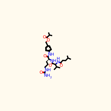 CC(C)CCC(=O)NC(C(=O)N[C@@H](CCCNC(N)=O)C(=O)Nc1ccc(COC(=O)C(C)C)cc1)C(C)C